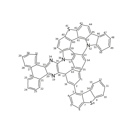 C1=CC(c2cccc3sc4ccccc4c23)=CC(c2nc3c4ccccc4c4ccccc4c3nc2-n2c3ccc4sc5ccc6c7ccccc7n7c8cccc2c8c3c4c5c67)C1